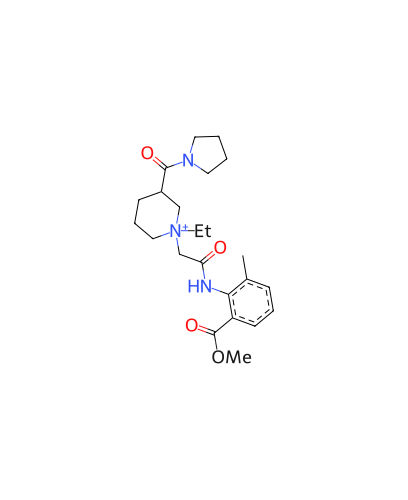 CC[N+]1(CC(=O)Nc2c(C)cccc2C(=O)OC)CCCC(C(=O)N2CCCC2)C1